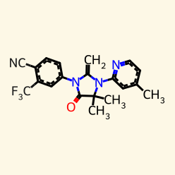 C=C1N(c2ccc(C#N)c(C(F)(F)F)c2)C(=O)C(C)(C)N1c1cc(C)ccn1